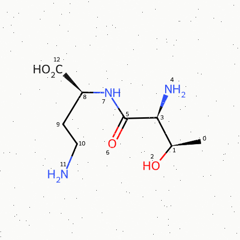 C[C@@H](O)[C@H](N)C(=O)N[C@@H](CCN)C(=O)O